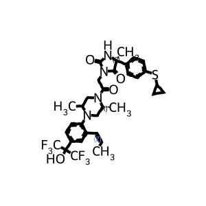 C/C=C\c1cc(C(O)(C(F)(F)F)C(F)(F)F)ccc1N1C[C@@H](C)N(C(=O)CN2C(=O)N[C@@](C)(c3ccc(SC4CC4)cc3)C2=O)CC1C